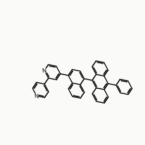 c1ccc(-c2c3ccccc3c(-c3ccc(-c4ccnc(-c5ccncc5)c4)c4ccccc34)c3ccccc23)cc1